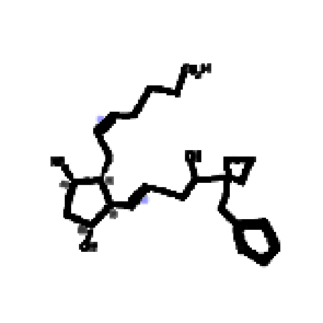 N#C[C@@H]1C[C@@H](O)[C@H](/C=C/CC(O)C2(Cc3cccs3)CCC2)[C@H]1C/C=C\CCCC(=O)O